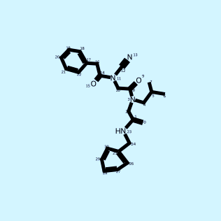 C=C(CN(CC(C)C)C(=O)CN(C#N)C(=O)Cc1ccccc1)NCc1ccccc1